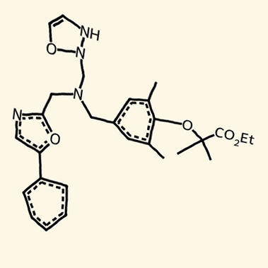 CCOC(=O)C(C)(C)Oc1c(C)cc(CN(Cc2ncc(-c3ccccc3)o2)CN2NC=CO2)cc1C